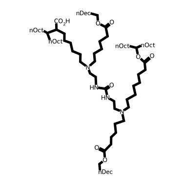 CCCCCCCCCCCOC(=O)CCCCCN(CCCCCCCC(=O)OC(CCCCCCCC)CCCCCCCC)CCNC(=O)NCCN(CCCCCCC(C(=O)O)C(CCCCCCCC)CCCCCCCC)CCCCCC(=O)OCCCCCCCCCCC